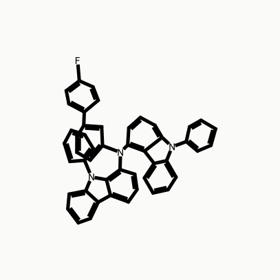 Fc1ccc(-c2cccc(N(c3cccc4c3c3ccccc3n4-c3ccccc3)c3cccc4c5ccccc5n(-c5ccccc5)c34)c2)cc1